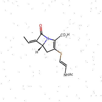 CC=C1C(=O)N2C(C(=O)O)=C(SC=CNC(C)=O)C[C@H]12